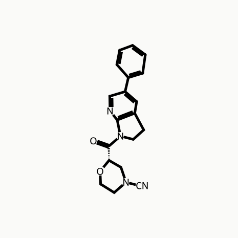 N#CN1CCO[C@H](C(=O)N2CCc3cc(-c4ccccc4)cnc32)C1